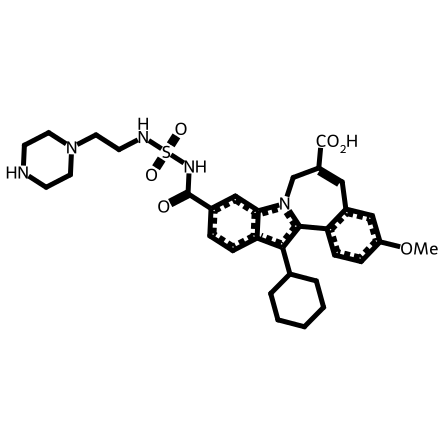 COc1ccc2c(c1)C=C(C(=O)O)Cn1c-2c(C2CCCCC2)c2ccc(C(=O)NS(=O)(=O)NCCN3CCNCC3)cc21